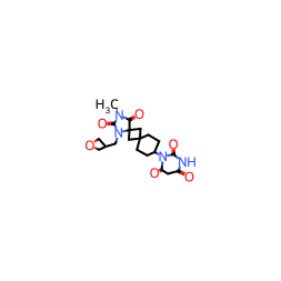 CN1C(=O)N(CC2COC2)C2(CC3(CCC(N4C(=O)CC(=O)NC4=O)CC3)C2)C1=O